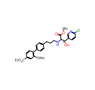 CCOC(=O)c1ccc(-c2ccc(CCCNC(C(=O)OC(C)(C)C)[C@H](O)c3ccc(Cl)nc3)cc2)c(OC)c1